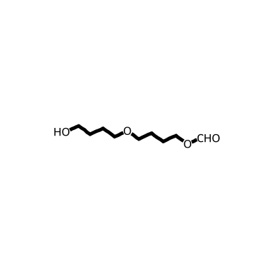 O=COCCCCOCCCCO